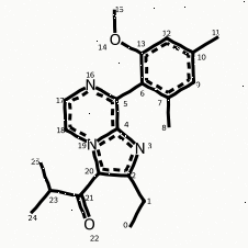 CCc1nc2c(-c3c(C)cc(C)cc3OC)nccn2c1C(=O)C(C)C